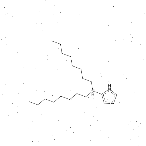 CCCCCCCC[SiH](CCCCCCCC)c1ccc[nH]1